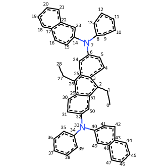 CCc1c2ccc(N(c3ccccc3)c3ccc4ccccc4c3)cc2c(CC)c2ccc(N(c3ccccc3)c3ccc4ccccc4c3)cc12